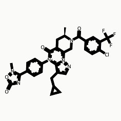 C[C@@H]1Cc2c(n3ncc(CC4CC4)c3n(-c3ccc(-c4nc(=O)on4C)cc3)c2=O)CN1C(=O)c1ccc(Cl)c(C(F)(F)F)c1